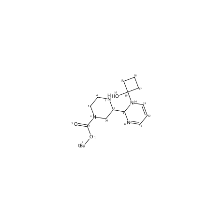 CC(C)(C)OC(=O)N1CCNC(C2N=CC=CN2C2(O)CCC2)C1